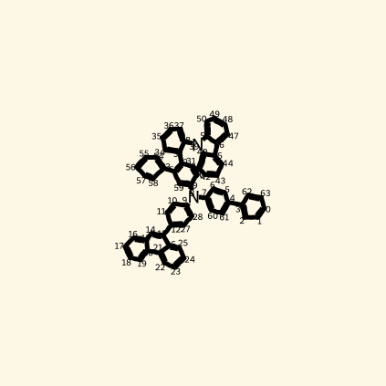 c1ccc(-c2ccc(N(c3ccc(-c4cc5ccccc5c5ccccc45)cc3)c3ccc(-c4ccccc4-n4c5ccccc5c5ccccc54)c(-c4ccccc4)c3)cc2)cc1